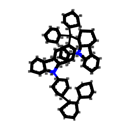 c1ccc(-c2ccccc2-c2ccc(-n3c4ccccc4c4ccc(-n5c6ccccc6c6cccc([Si](c7ccccc7)(c7ccccc7)c7ccccc7)c65)cc43)cc2)cc1